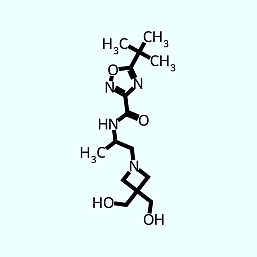 CC(CN1CC(CO)(CO)C1)NC(=O)c1noc(C(C)(C)C)n1